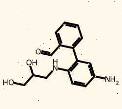 Nc1ccc(NCC(O)CO)c(-c2ccccc2C=O)c1